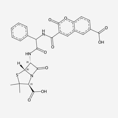 CC1(C)S[C@@H]2[C@H](NC(=O)C(NC(=O)c3cc4cc(C(=O)O)ccc4oc3=O)c3ccccc3)C(=O)N2[C@H]1C(=O)O